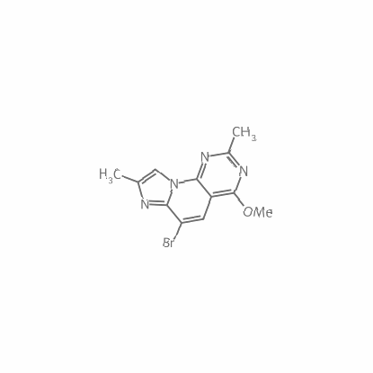 COc1nc(C)nc2c1cc(Br)c1nc(C)cn12